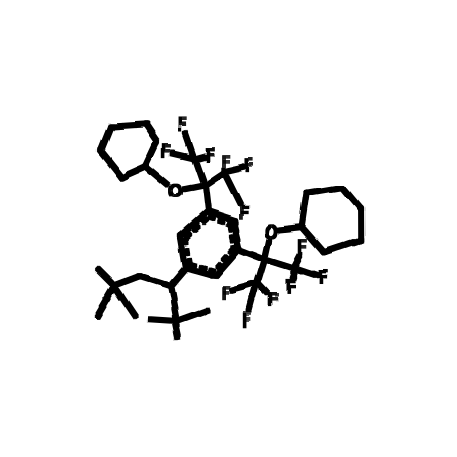 CC(C)(C)CC(c1cc(C(OC2CCCCC2)(C(F)(F)F)C(F)(F)F)cc(C(OC2CCCCC2)(C(F)(F)F)C(F)(F)F)c1)C(C)(C)C